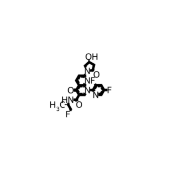 C[C@@H](CF)NC(=O)c1cn(-c2ncc(F)cc2F)c2nc(N3C[C@@H](O)CC3=O)ccc2c1=O